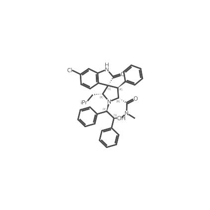 CC(C)C[C@H]1N([C@H](c2ccccc2)[C@@H](O)c2ccccc2)[C@@H](C(=O)N(C)C)[C@H](c2ccccc2)[C@@]12C(=O)Nc1cc(Cl)ccc12